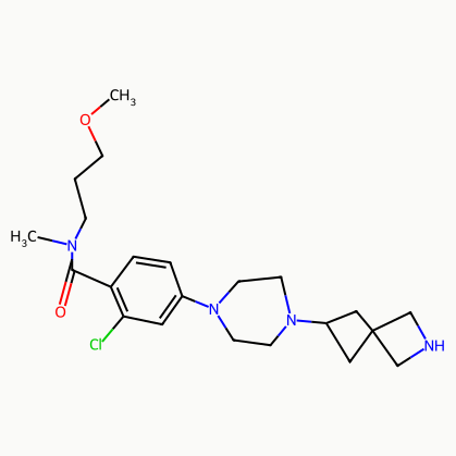 COCCCN(C)C(=O)c1ccc(N2CCN(C3CC4(CNC4)C3)CC2)cc1Cl